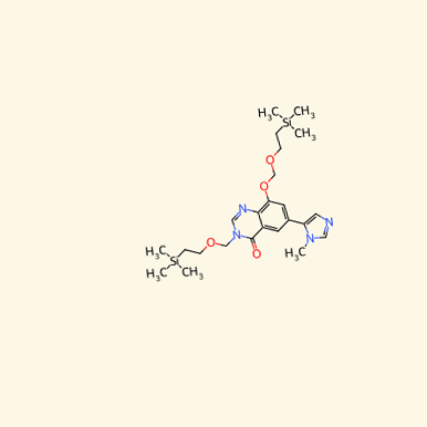 Cn1cncc1-c1cc(OCOCC[Si](C)(C)C)c2ncn(COCC[Si](C)(C)C)c(=O)c2c1